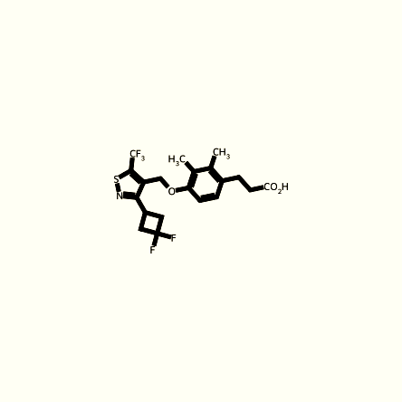 Cc1c(CCC(=O)O)ccc(OCc2c(C3CC(F)(F)C3)nsc2C(F)(F)F)c1C